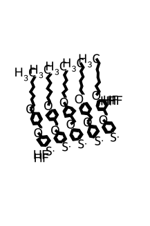 CCCCCCCCOc1ccc(COc2ccc([S])cc2)cc1.CCCCCCCCOc1ccc(COc2ccc([S])cc2)cc1.CCCCCCCCOc1ccc(COc2ccc([S])cc2)cc1.CCCCCCCCOc1ccc(COc2ccc([S])cc2)cc1.CCCCCCCCOc1ccc(COc2ccc([S])cc2)cc1.F.F.F.F.F